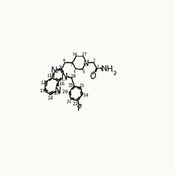 NC(=O)CN1CCC(Cc2nc3cccnc3n2Cc2ccc(F)cc2)CC1